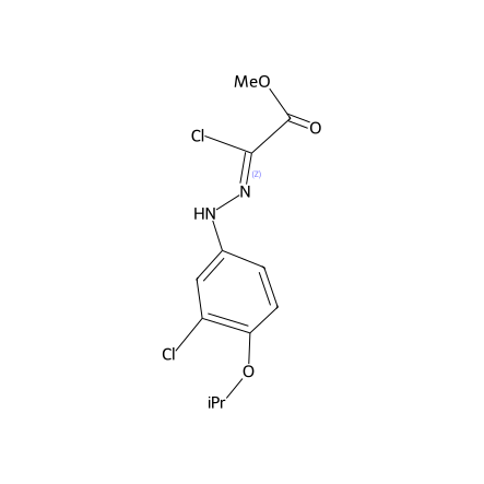 COC(=O)/C(Cl)=N/Nc1ccc(OC(C)C)c(Cl)c1